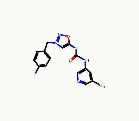 O=C([N-]c1c[n+](Cc2ccc(I)cc2)no1)Nc1cncc(C(F)(F)F)c1